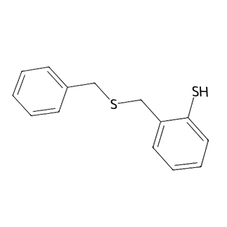 Sc1ccccc1CSCc1ccccc1